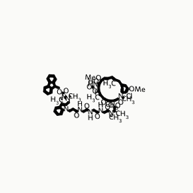 COc1cc2cc(c1Cl)N(C)C(=O)C[C@H](OC(=O)[C@H](C)N(C)C(=O)CNC(=O)CNC(=O)CNC(=O)CCn1c(CN(C)N(C)C(=O)OCC3c4ccccc4-c4ccccc43)cc3ccccc31)[C@]1(C)OC1[C@H](C)[C@@H]1C[C@@](O)(NC(=O)O1)[C@H](OC)/C=C/C=C(\C)C2